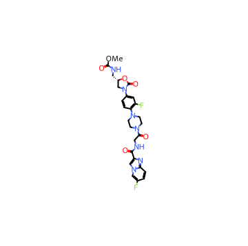 COC(=O)NC[C@H]1CN(c2ccc(N3CCN(C(=O)CNC(=O)c4cn5cc(F)ccc5n4)CC3)c(F)c2)C(=O)O1